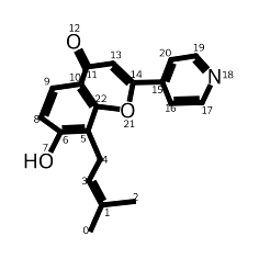 CC(C)=CCc1c(O)ccc2c(=O)cc(-c3ccncc3)oc12